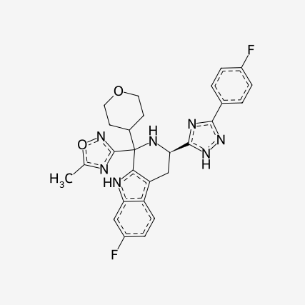 Cc1nc(C2(C3CCOCC3)N[C@@H](c3nc(-c4ccc(F)cc4)n[nH]3)Cc3c2[nH]c2cc(F)ccc32)no1